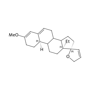 CC[C@]12CCC3C(CC=C4C=C(OC)CC[C@@H]43)C1CC[C@@]21C=CCO1